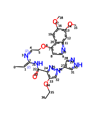 C/C=C(\N=C/COc1ccnc2cc(OC)c(OC)cc12)NC(=O)c1nn(-c2cn[nH]c2)cc1OCC